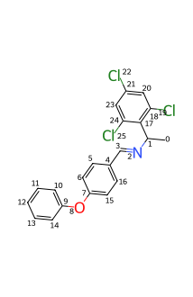 CC(N=Cc1ccc(Oc2ccccc2)cc1)c1c(Cl)cc(Cl)cc1Cl